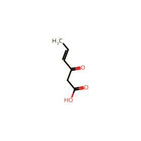 CC=CC(=O)CC(=O)O